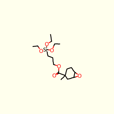 CCO[Si](CCCOC(=O)C1(C)CCC2OC2C1)(OCC)OCC